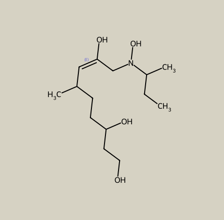 CCC(C)N(O)C/C(O)=C\C(C)CCC(O)CCO